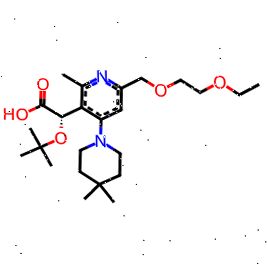 CCOCCOCc1cc(N2CCC(C)(C)CC2)c([C@H](OC(C)(C)C)C(=O)O)c(C)n1